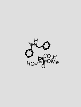 COC(=O)[C@]1(C(=O)O)C[C@H]1CO.C[C@@H](NCc1ccccc1)c1ccccc1